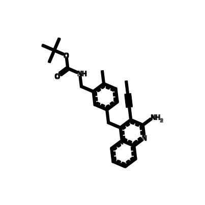 CC#Cc1c(N)nc2ccccc2c1Cc1ccc(C)c(CNC(=O)OC(C)(C)C)c1